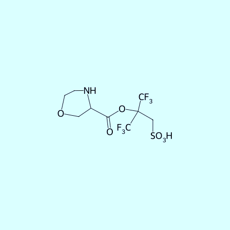 O=C(OC(CS(=O)(=O)O)(C(F)(F)F)C(F)(F)F)C1COCCN1